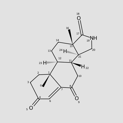 C[C@]12CCC(=O)C=C1C(=O)C[C@@H]1[C@@H]2CC[C@]2(C)C(=O)NC[C@@H]12